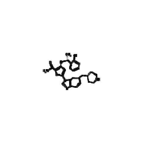 C[C@@H](Oc1cc(-n2cnc3ccc(CC4CCNCC4)cc32)sc1C(N)=O)c1ccccc1Cl